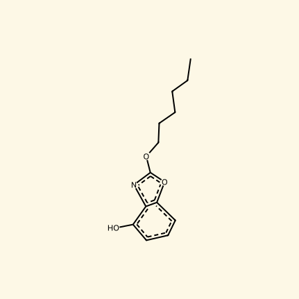 CCCCCCOc1nc2c(O)cccc2o1